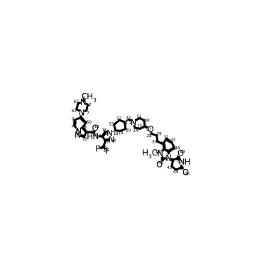 CN1CCN(c2ccn3ncc(C(=O)Nc4cn([C@H]5CC[C@H](CN6CCC(OCCCc7cccc8c7n(C)c(=O)n8C7CCC(=O)NC7=O)CC6)CC5)nc4C(F)F)c3c2)CC1